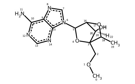 COCC12OC(n3cnc4c(N)ncnc43)C(OC1C)[C@H]2O